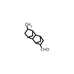 CC1CC2CC1C1C3CC(C=O)C(C3)C21